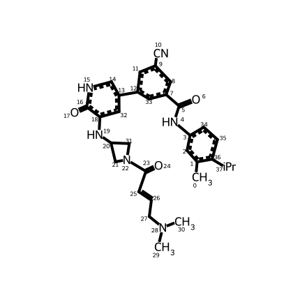 Cc1cc(NC(=O)c2cc(C#N)cc(-c3c[nH]c(=O)c(NC4CN(C(=O)C=CCN(C)C)C4)c3)c2)ccc1C(C)C